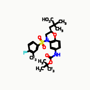 CC(C)(C[C@@H]1CN(S(=O)(=O)c2ccc(F)c(C(F)(F)F)c2)c2cc(NC(=O)OC(C)(C)C(F)(F)F)ccc2O1)C(=O)O